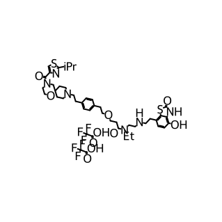 CCN(CCNCCc1ccc(O)c2[nH]c(=O)sc12)C(=O)CCOCCc1ccc(CCN2CCC3(CC2)CN(C(=O)c2csc(C(C)C)n2)CCO3)cc1.O=C(O)C(F)(F)F.O=C(O)C(F)(F)F